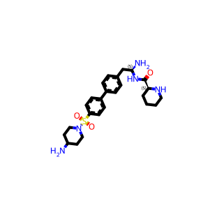 NC1CCN(S(=O)(=O)c2ccc(-c3ccc(C[C@@H](N)NC(=O)[C@@H]4CCCCN4)cc3)cc2)CC1